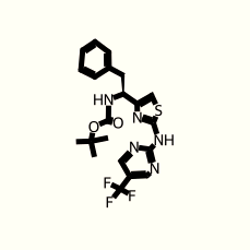 CC(C)(C)OC(=O)N[C@@H](Cc1ccccc1)c1csc(Nc2ncc(C(F)(F)F)cn2)n1